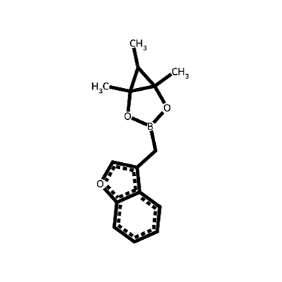 CC1C2(C)OB(Cc3coc4ccccc34)OC12C